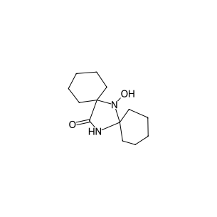 O=C1NC2(CCCCC2)N(O)C12CCCCC2